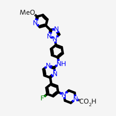 COc1ccc(-c2ncn(-c3ccc(Nc4nccc(-c5cc(F)cc(N6CCN(C(=O)O)CC6)c5)n4)cc3)n2)cn1